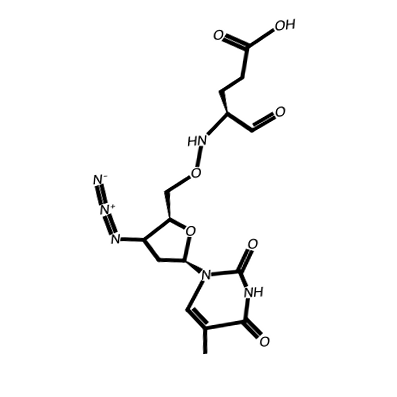 Cc1cn([C@H]2CC(N=[N+]=[N-])[C@@H](CON[C@H](C=O)CCC(=O)O)O2)c(=O)[nH]c1=O